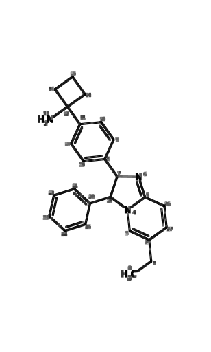 CCC1=CN2C(=NC(c3ccc(C4(N)CCC4)cc3)C2c2ccccc2)C=C1